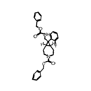 O=C(NCC1(c2ccccc2F)[C@@H]2CCN(C(=O)OCc3ccccc3)CC[C@@H]21)OCc1ccccc1